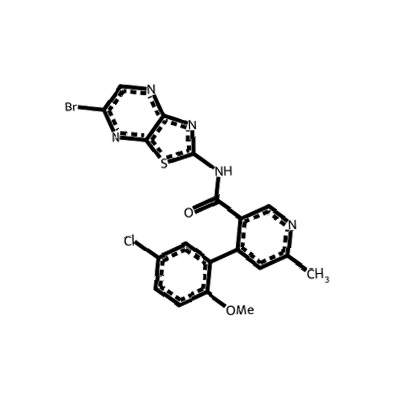 COc1ccc(Cl)cc1-c1cc(C)ncc1C(=O)Nc1nc2ncc(Br)nc2s1